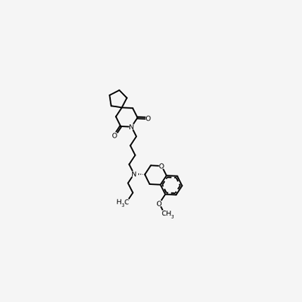 CCCN(CCCCN1C(=O)CC2(CCCC2)CC1=O)[C@@H]1COc2cccc(OC)c2C1